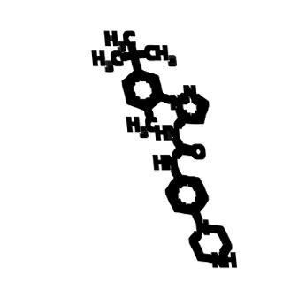 Cc1ccc(C(C)(C)C)cc1-n1nccc1NC(=O)Nc1ccc(N2CCNCC2)cc1